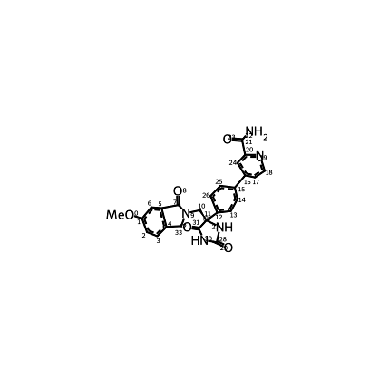 COc1ccc2c(c1)C(=O)N(C[C@@]1(c3ccc(-c4ccnc(C(N)=O)c4)cc3)NC(=O)NC1=O)C2